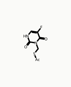 CC(=O)SCn1c(=O)[nH]cc(F)c1=O